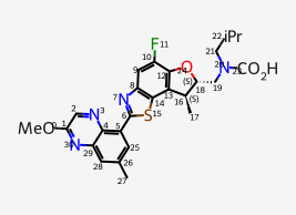 COc1cnc2c(-c3nc4cc(F)c5c(c4s3)[C@H](C)[C@@H](CN(CC(C)C)C(=O)O)O5)cc(C)cc2n1